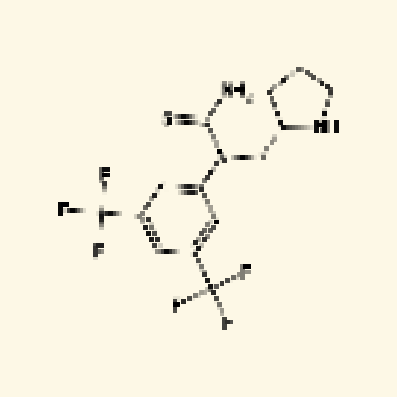 NC(=S)N(C[C@@H]1CCCN1)c1cc(C(F)(F)F)cc(C(F)(F)F)c1